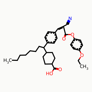 CCCCCCCC(c1ccc(C=C(C#N)C(=O)Oc2ccc(OCC)cc2)cc1)C1CCC(C(=O)O)CC1